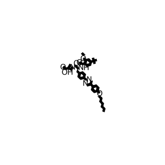 CCCCCCCOc1ccc(-c2cnc(-c3ccc(C[C@H](NC(=O)c4ccc(C(C)(C)C)cc4OCC)C(=O)N4CC(C(=O)O)C4)cc3)nc2)cc1